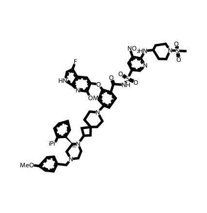 COc1ccc(CN2CCN(C3CC4(CCN(c5ccc(C(=O)NS(=O)(=O)c6cnc(NC7CCN(S(C)(=O)=O)CC7)c([N+](=O)[O-])c6)c(Oc6cc7c(F)c[nH]c7nc6OC)c5)CC4)C3)[C@H](c3ccccc3C(C)C)C2)cc1